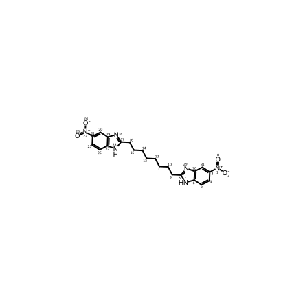 O=[N+]([O-])c1ccc2[nH]c(CCCCCCCCc3nc4cc([N+](=O)[O-])ccc4[nH]3)nc2c1